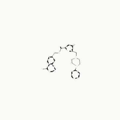 Cc1cc(C(=O)NCc2ccc3c(N)nccc3c2)sc1CN1CCN(c2ccncc2)CC1